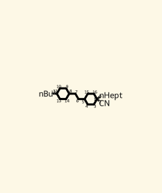 CCCCCCCC1(C#N)CCC(CCC2CCC(CCCC)CC2)CC1